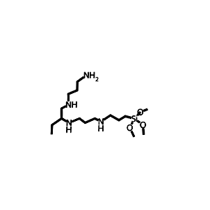 CCC(CNCCCN)NCCCNCCC[Si](OC)(OC)OC